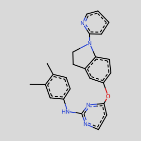 Cc1ccc(Nc2nccc(Oc3ccc4c(c3)CCN4c3ccccn3)n2)cc1C